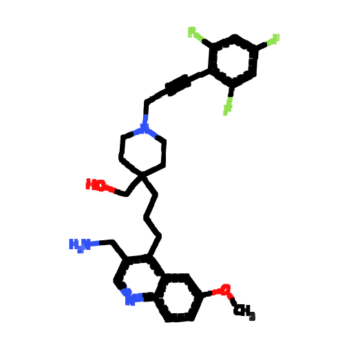 COc1ccc2ncc(CN)c(CCCC3(CO)CCN(CC#Cc4c(F)cc(F)cc4F)CC3)c2c1